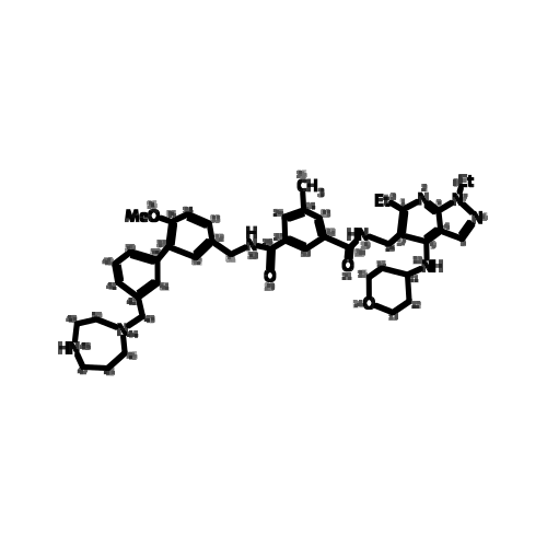 CCc1nc2c(cnn2CC)c(NC2CCOCC2)c1CNC(=O)c1cc(C)cc(C(=O)NCc2ccc(OC)c(-c3cccc(CN4CCCNCC4)c3)c2)c1